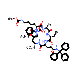 CC(=O)N[C@H](C(=O)N[C@@H](CCCCNC(=O)OC(C)(C)C)C(=O)N[C@H](C(=O)N[C@@H](CC(C)C)C(=O)N[C@@H](CCC(=O)NC(c1ccccc1)(c1ccccc1)c1ccccc1)C(=O)N[C@@H](Cc1cn(C(=O)OC(C)(C)C)c2ccccc12)C(=O)O)C(C)C)C(C)C